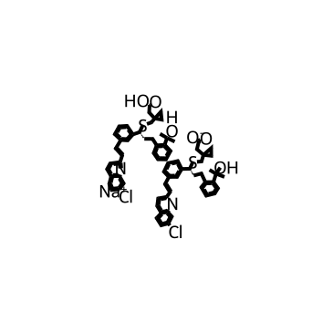 CC(C)(O)c1ccccc1CC[C@@H](SCC1(CC(=O)O)CC1)c1cccc(/C=C/c2ccc3ccc(Cl)cc3n2)c1.CC(C)(O)c1ccccc1CC[C@@H](SCC1(CC(=O)[O-])CC1)c1cccc(/C=C/c2ccc3ccc(Cl)cc3n2)c1.[Na+]